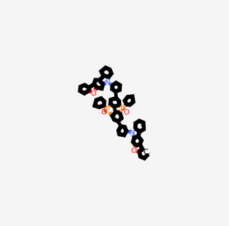 O=P1(c2ccccc2)c2cc(-c3cccc(-n4c5ccccc5c5cc6c(cc54)oc4ccccc46)c3)cc3c2-c2c1cc(-c1cccc(-n4c5ccccc5c5cc6c(cc54)oc4ccccc46)c1)cc2P3(=O)c1ccccc1